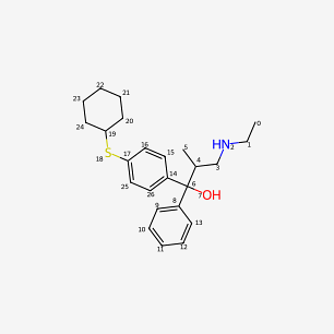 CCNCC(C)C(O)(c1ccccc1)c1ccc(SC2CCCCC2)cc1